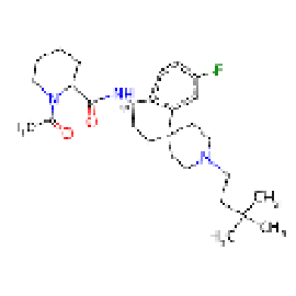 CC(=O)N1CCCCC1C(=O)N[C@H]1CCC2(CCN(CCC(C)(C)C)CC2)c2cc(F)ccc21